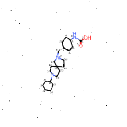 O=C(O)N[C@H]1CC[C@H](CN2CCC3(CCN(C4CCCCC4)CC3)C2)CC1